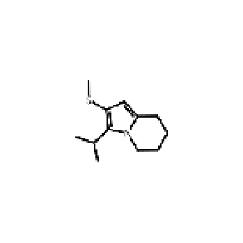 CSc1cc2n(c1C(C)C)CCCC2